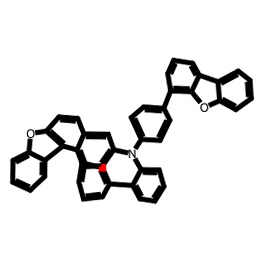 c1ccc(-c2ccccc2N(c2ccc(-c3cccc4c3oc3ccccc34)cc2)c2ccc3c(ccc4oc5ccccc5c43)c2)cc1